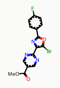 COC(=O)c1cnc(-c2nc(-c3ccc(F)cc3)oc2Br)nc1